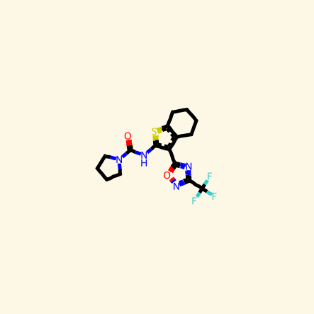 O=C(Nc1sc2c(c1-c1nc(C(F)(F)F)no1)CCCC2)N1CCCC1